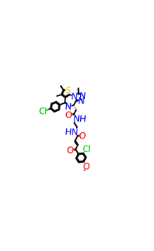 COc1ccc(C(=O)/C=C/C(=O)NCCNC(=O)C[C@@H]2N=C(c3ccc(Cl)cc3)c3c(sc(C)c3C)-n3c(C)nnc32)c(Cl)c1